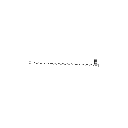 ClCCCCCCCCCCCCCCCCCCCCCCCCCCCCCCC[SiH](Cl)Cl